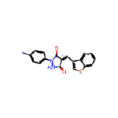 O=C1NN(c2ccc(I)cc2)C(=O)/C1=C/c1csc2ccccc12